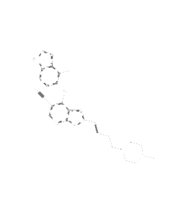 Cc1c(Nc2c(C#N)cnc3sc(C=CCCN4CCN(C)CC4)cc23)ccc2[nH]ccc12